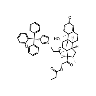 CCC(=O)OCC(=O)[C@@]1(OC(=O)CC)[C@@H](C)C[C@H]2[C@@H]3CCC4=CC(=O)C=C[C@]4(C)[C@@]3(F)[C@@H](O)C[C@@]21C.Clc1ccccc1C(c1ccccc1)(c1ccccc1)n1ccnc1